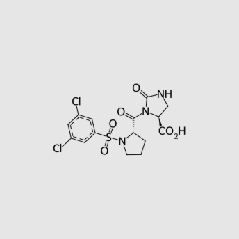 O=C(O)[C@@H]1CNC(=O)N1C(=O)[C@@H]1CCCN1S(=O)(=O)c1cc(Cl)cc(Cl)c1